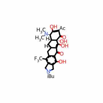 CC[C@H](C)N1Cc2c(O)c3c(c(C(F)(F)F)c2C1)C[C@H]1C[C@H]2[C@H](N(C)C)C(O)=C(C(C)=O)C(=O)[C@@]2(O)C(O)=C1C3=O